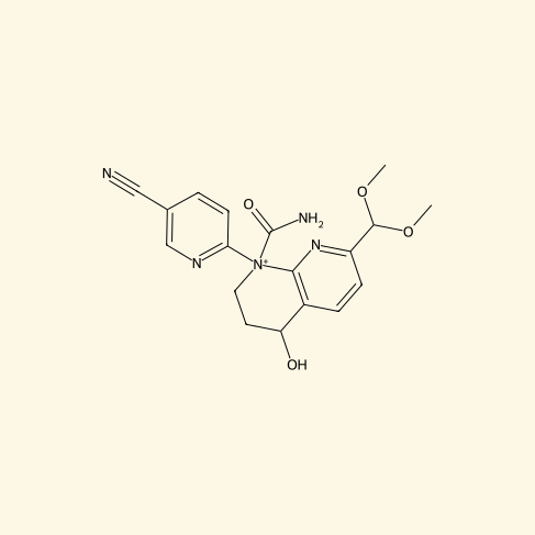 COC(OC)c1ccc2c(n1)[N+](C(N)=O)(c1ccc(C#N)cn1)CCC2O